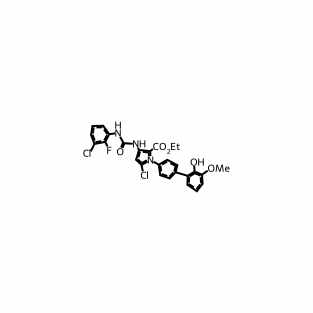 CCOC(=O)c1c(NC(=O)Nc2cccc(Cl)c2F)cc(Cl)n1-c1ccc(-c2cccc(OC)c2O)cc1